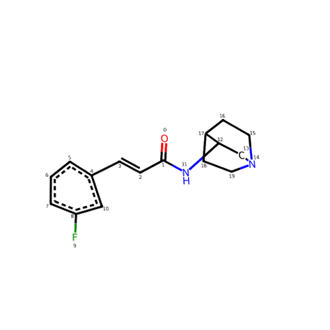 O=C(C=Cc1cccc(F)c1)NC1CN2CCC1CC2